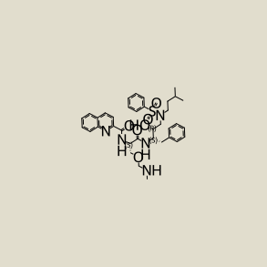 CNCOC[C@H](NC(=O)c1ccc2ccccc2n1)C(=O)N[C@@H](Cc1ccccc1)[C@H](O)CN(CCC(C)C)S(=O)(=O)c1ccccc1